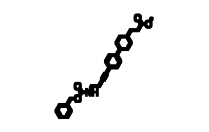 COC(=O)CCC1CCC(c2ccc(C#CCCNC(=O)OCc3ccccc3)cc2)CC1